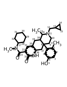 Cc1ccc(O)cc1C12CCN(CC3CC3)C(C)C1Cc1cc(C(=O)N(C)C3CCCCC3)c(=O)[nH]c1C2